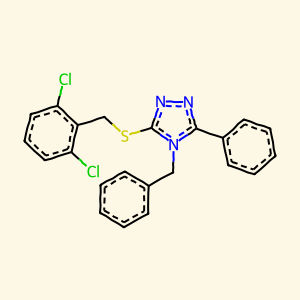 Clc1cccc(Cl)c1CSc1nnc(-c2ccccc2)n1Cc1ccccc1